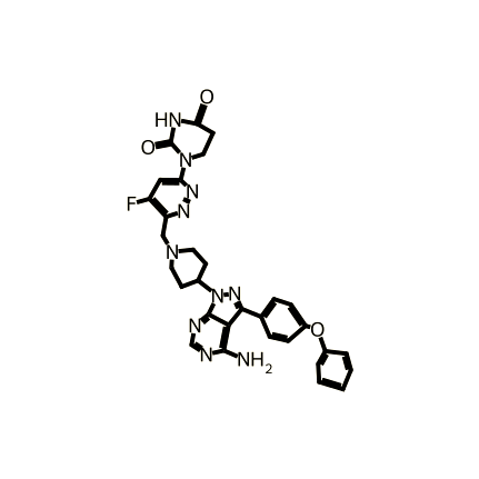 Nc1ncnc2c1c(-c1ccc(Oc3ccccc3)cc1)nn2C1CCN(Cc2nnc(N3CCC(=O)NC3=O)cc2F)CC1